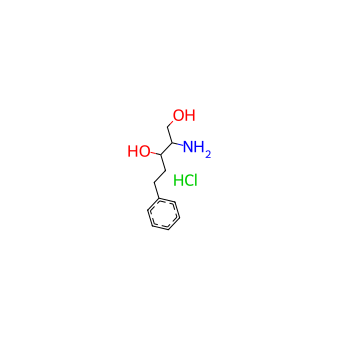 Cl.NC(CO)C(O)CCc1ccccc1